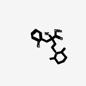 COC(=O)C(C#N)(CCN1C(C)CCCC1C)Cc1ccccc1Cl